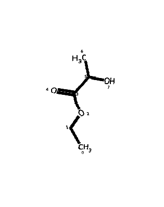 CCOC(=O)[C](C)O